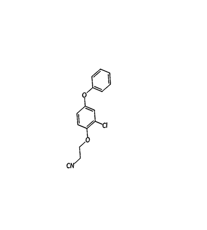 [C-]#[N+]CCOc1ccc(Oc2ccccc2)cc1Cl